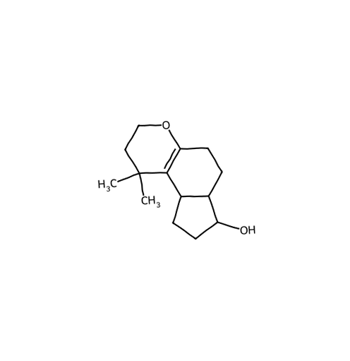 CC1(C)CCOC2=C1C1CCC(O)C1CC2